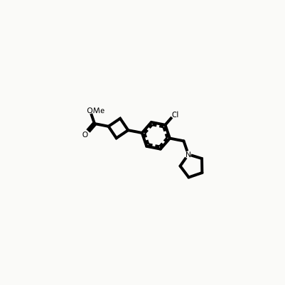 COC(=O)C1CC(c2ccc(CN3CCCC3)c(Cl)c2)C1